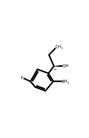 Bc1ccc(F)cc1[C@H](O)CC